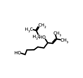 C=C(C)C.CC(C)=CC(O)CCCCCO